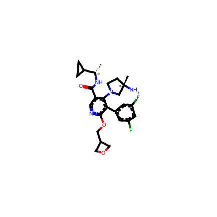 C[C@H](NC(=O)c1cnc(OCC2COC2)c(-c2cc(F)cc(F)c2)c1N1CC[C@](C)(N)C1)C1CC1